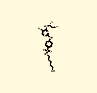 CC(C)[C@H](CO)Nc1nc(Nc2ccc(S(=O)(=O)NCCCCCO)cc2)ncc1Br